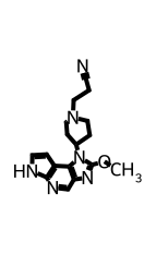 COc1nc2cnc3[nH]ccc3c2n1C1CCN(CCC#N)CC1